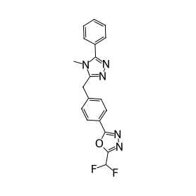 Cn1c(Cc2ccc(-c3nnc(C(F)F)o3)cc2)nnc1-c1ccccc1